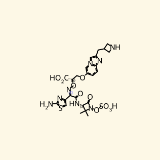 CC1(C)[C@H](NC(=O)/C(=N\O[C@@H](COc2ccc3nc(CC4CNC4)cn3c2)C(=O)O)c2csc(N)n2)C(=O)N1OS(=O)(=O)O